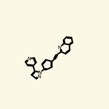 C(#Cc1ccc2ccccc2n1)c1ccc(-n2nccc2-c2ccncc2)cc1